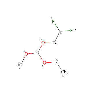 CCOC(OCC(F)F)OCC(F)(F)F